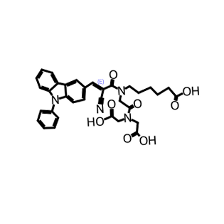 N#C/C(=C\c1ccc2c(c1)c1ccccc1n2-c1ccccc1)C(=O)N(CCCCCC(=O)O)CC(=O)N(CC(=O)O)CC(=O)O